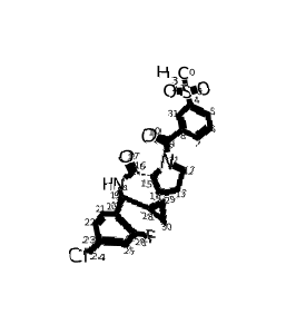 CS(=O)(=O)c1cccc(C(=O)N2CCC[C@@H]2C(=O)NC(c2ccc(Cl)cc2F)C2CC2)c1